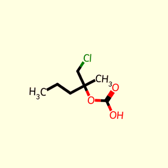 CCCC(C)(CCl)OC(=O)O